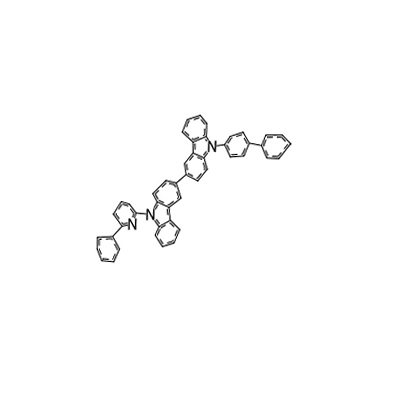 c1ccc(-c2ccc(-n3c4ccccc4c4cc(-c5ccc6c(c5)c5ccccc5n6-c5cccc(-c6ccccc6)n5)ccc43)cc2)cc1